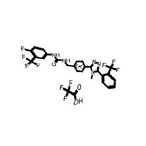 Cn1c(-c2ccccc2C(F)(F)F)nnc1C12CCC(CNC(=O)Nc3ccc(F)c(C(F)(F)F)c3)(CC1)CC2.O=C(O)C(F)(F)F